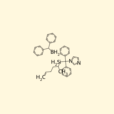 BC(c1ccccc1)c1ccccc1.C=CCCC(C)[SiH2]C(c1ccccc1)(c1ccccc1)n1ccnc1